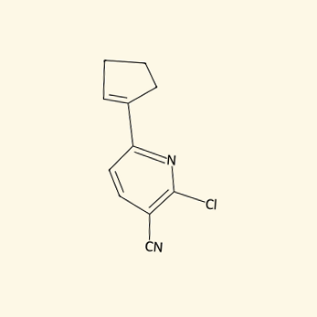 N#Cc1ccc(C2=CCCC2)nc1Cl